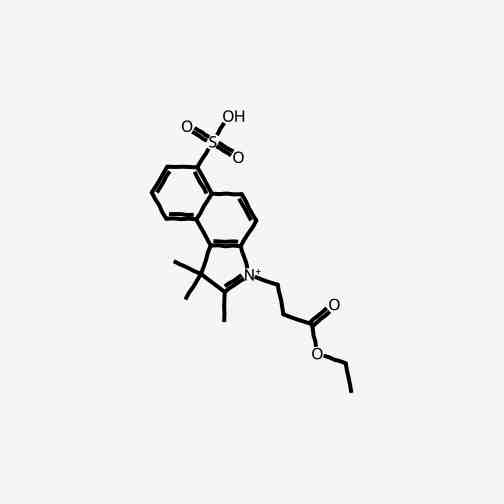 CCOC(=O)CC[N+]1=C(C)C(C)(C)c2c1ccc1c(S(=O)(=O)O)cccc21